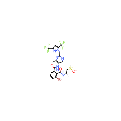 Cc1nc(Cn2nc(C(F)(F)F)cc2C(F)(F)F)ncc1NC(=O)c1cccc(Br)c1C(=O)N[C@@H](C)C[S+](C)[O-]